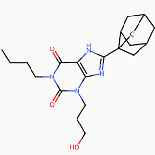 CCCCn1c(=O)c2[nH]c(C34CC5CC(CC3C5)C4)nc2n(CCCO)c1=O